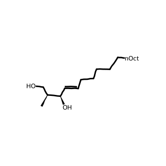 CCCCCCCCCCCCC/C=C/[C@@H](O)[C@@H](C)CO